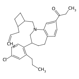 C=CCC1CCC1CN1CC(c2ccc(Cl)cc2CCC)CCc2ccc(C(=O)CC)cc21